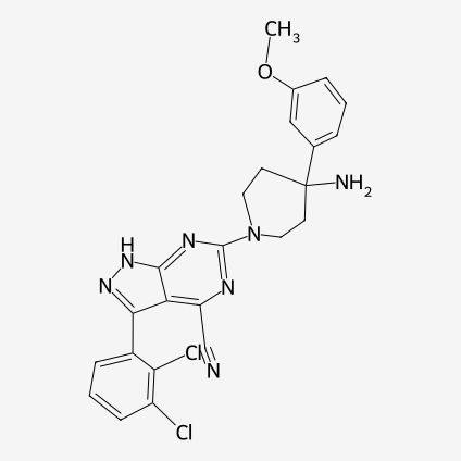 COc1cccc(C2(N)CCN(c3nc(C#N)c4c(-c5cccc(Cl)c5Cl)n[nH]c4n3)CC2)c1